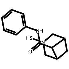 O=C(Nc1ccccc1)C1C2CC1CN(S)C2